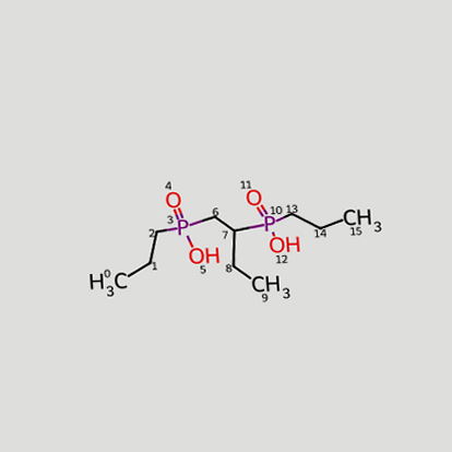 CCCP(=O)(O)CC(CC)P(=O)(O)CCC